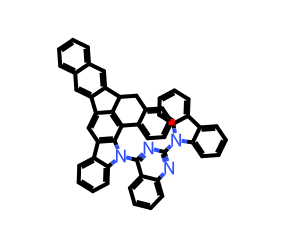 c1ccc2c(c1)CC1c3cc4ccccc4cc3-c3cc4c5ccccc5n(-c5nc(-n6c7ccccc7c7ccccc76)nc6ccccc56)c4c-2c31